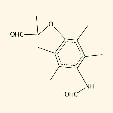 Cc1c(C)c2c(c(C)c1NC=O)CC(C)(C=O)O2